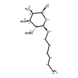 CC[C@H]1O[C@@H](OCCCCCN)[C@H](NC(C)=O)[C@@H](OC(C)=O)[C@H]1C